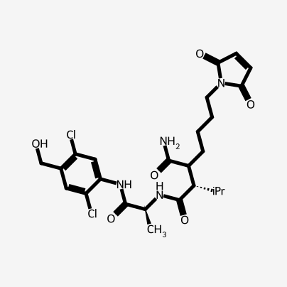 CC(C)[C@H](C(=O)N[C@@H](C)C(=O)Nc1cc(Cl)c(CO)cc1Cl)C(CCCCN1C(=O)C=CC1=O)C(N)=O